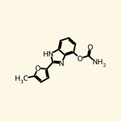 Cc1ccc(-c2nc3c(OC(N)=O)cccc3[nH]2)o1